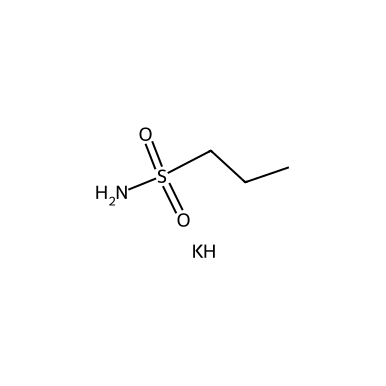 CCCS(N)(=O)=O.[KH]